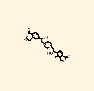 Cc1c([C@H](O)CN2CCN(CC(O)c3ccc4c(c3)C[C@H](C)OC4=O)CC2)ccc2c1COC2=O